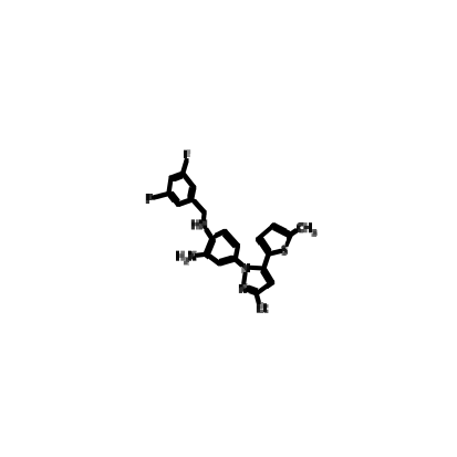 CCc1cc(-c2ccc(C)s2)n(-c2ccc(NCc3cc(F)cc(F)c3)c(N)c2)n1